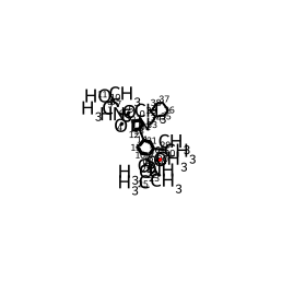 Cc1c(S(=O)(=O)NCC(C)(C)O)cc(-c2ccc(S(=O)(=O)NC(C)(C)C)c(C(C)(C)C)c2)n1CC1CCCCC1